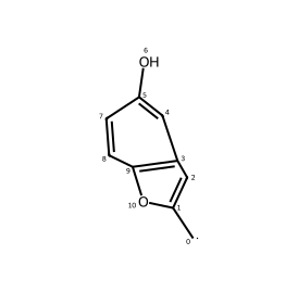 [CH2]c1cc2cc(O)ccc2o1